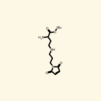 CC(C)(C)OC(=O)C(N)CCNCCCN1C(=O)C=CC1=O